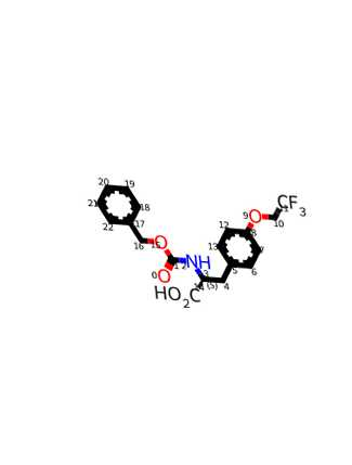 O=C(N[C@@H](Cc1ccc(OCC(F)(F)F)cc1)C(=O)O)OCc1ccccc1